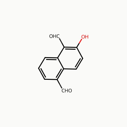 O=Cc1cccc2c(C=O)c(O)ccc12